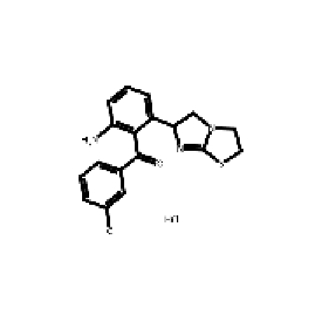 Cl.Nc1cccc(C2CN3CCSC3=N2)c1C(=O)c1cccc(Cl)c1